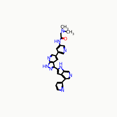 CN(C)CC(=O)Nc1cncc(-c2cnc3[nH]nc(-c4cc5c(-c6cccnc6)cncc5[nH]4)c3c2)c1